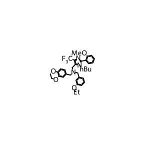 CCCCn1c(-c2ccccc2OC)nc(C(F)(F)F)c1CN(Cc1cccc(OCC)c1)Cc1ccc2c(c1)OCCO2